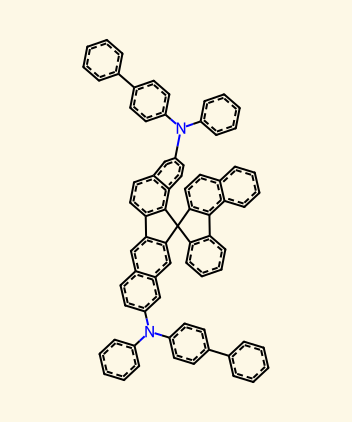 c1ccc(-c2ccc(N(c3ccccc3)c3ccc4cc5c(cc4c3)C3(c4ccccc4-c4c3ccc3ccccc43)c3c-5ccc4cc(N(c5ccccc5)c5ccc(-c6ccccc6)cc5)ccc34)cc2)cc1